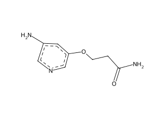 NC(=O)CCOc1cncc(N)c1